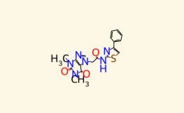 Cn1c(=O)c2c(ncn2CC(=O)Nc2nc(-c3ccccc3)cs2)n(C)c1=O